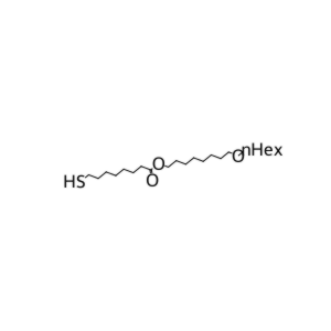 CCCCCCOCCCCCCCCOC(=O)CCCCCCCS